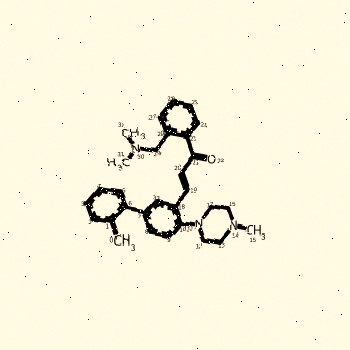 Cc1ccccc1-c1ccc(N2CCN(C)CC2)c(C=CC(=O)c2ccccc2CN(C)C)c1